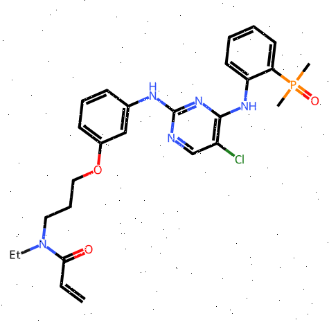 C=CC(=O)N(CC)CCCOc1cccc(Nc2ncc(Cl)c(Nc3ccccc3P(C)(C)=O)n2)c1